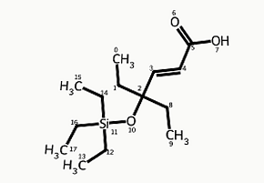 CCC(C=CC(=O)O)(CC)O[Si](CC)(CC)CC